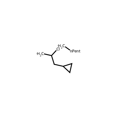 [CH2]C(Cl)CC1CC1.[CH2]CCCCC